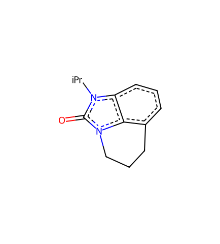 CC(C)n1c(=O)n2c3c(cccc31)CCC2